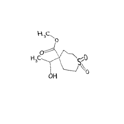 COC(=O)C1(C(C)O)CCS(=O)(=O)CC1